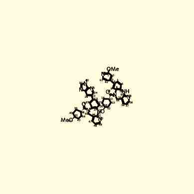 COc1cc(-c2ccc3c(c2)N(C(=O)[C@H]2CC[C@H](ON4c5ccc(-c6cnc7c(c6)ncn7C)cc5N(C(=O)[C@H]5CC[C@H](OC)CC5)Cc5cccnc54)CC2)Cc2cccnc2N3)ccn1